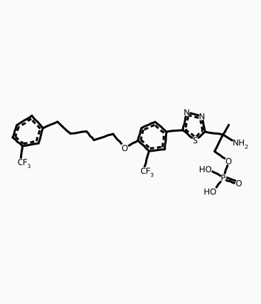 CC(N)(COP(=O)(O)O)c1nnc(-c2ccc(OCCCCCc3cccc(C(F)(F)F)c3)c(C(F)(F)F)c2)s1